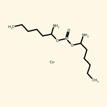 CCCCCC(N)O[N+](=O)OC(N)CCCCC.[Co]